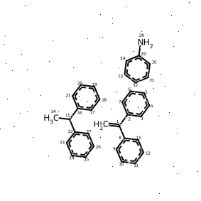 C=C(c1ccccc1)c1ccccc1.CC(c1ccccc1)c1ccccc1.Nc1ccccc1